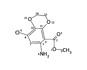 COC(=O)c1c(N)cc(Cl)c2c1OCCO2